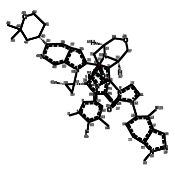 Cc1cc(-n2nc3c(c2-n2ccn(-c4ccc5c(cnn5C)c4F)c2=O)[C@@H]2COC[C@H](C3)N2C(=O)c2cc3cc([C@H]4CCOC(C)(C)C4)ncc3n2[C@@]2(c3noc(=O)[nH]3)C[C@@H]2C)cc(C)c1F